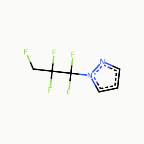 FCC(F)(F)C(F)(F)n1cccn1